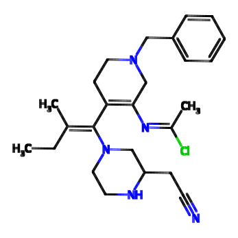 CC/C(C)=C(C1=C(/N=C(\C)Cl)CN(Cc2ccccc2)CC1)\N1CCNC(CC#N)C1